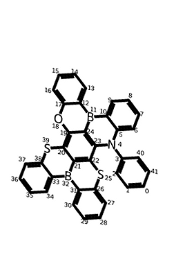 c1ccc(N2c3ccccc3B3c4ccccc4Oc4c5c6c(c2c43)Sc2ccccc2B6c2ccccc2S5)cc1